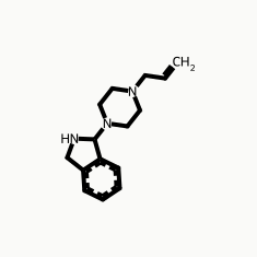 C=CCN1CCN(C2NCc3ccccc32)CC1